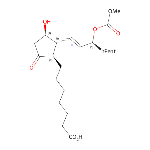 CCCCC[C@@H](/C=C/[C@H]1[C@H](O)CC(=O)[C@@H]1CCCCCCC(=O)O)OC(=O)OC